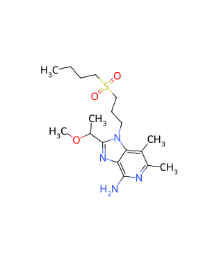 CCCCS(=O)(=O)CCCn1c(C(C)OC)nc2c(N)nc(C)c(C)c21